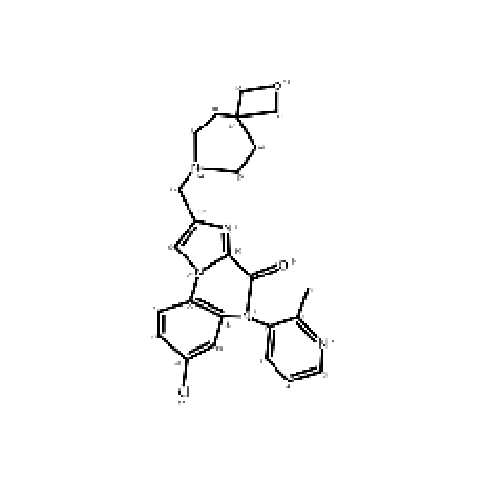 Cc1ncccc1-n1c(=O)c2nc(CN3CCC4(CC3)COC4)cn2c2ccc(Cl)cc21